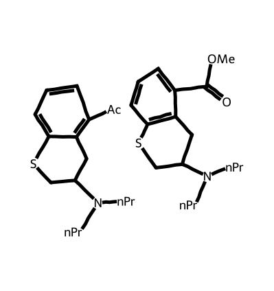 CCCN(CCC)C1CSc2cccc(C(=O)OC)c2C1.CCCN(CCC)C1CSc2cccc(C(C)=O)c2C1